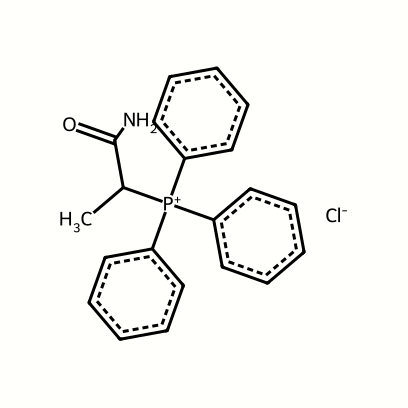 CC(C(N)=O)[P+](c1ccccc1)(c1ccccc1)c1ccccc1.[Cl-]